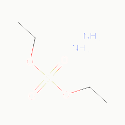 CCOS(=O)(=O)OCC.N.N